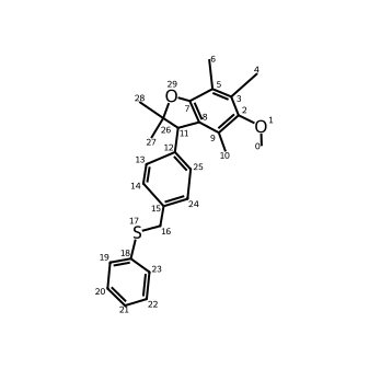 COc1c(C)c(C)c2c(c1C)C(c1ccc(CSc3ccccc3)cc1)C(C)(C)O2